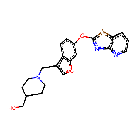 OCC1CCN(Cc2coc3cc(Oc4nc5ncccc5s4)ccc23)CC1